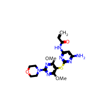 C=CC(=O)Nc1cc(N)nc(Sc2c(OC)nc(N3CCOCC3)nc2OC)n1